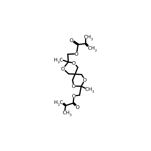 C=C(C)C(=O)OCC1(C)OCC2(CO1)COC(C)(COC(=O)C(=C)C)OC2